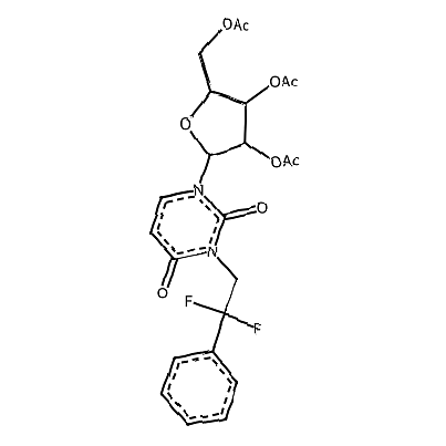 CC(=O)OCC1OC(n2ccc(=O)n(CC(F)(F)c3ccccc3)c2=O)C(OC(C)=O)C1OC(C)=O